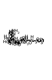 CC(C)(COP(=O)(O)OP(=O)(O)OCC1OC(C)(n2cnc3c(N)ncnc32)C(O)C1OP(=O)(O)O)C(O)C(=O)NCCC(=O)NCCSC(=O)CC1SCCCS1